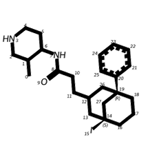 CC1CNCCC1NC(=O)CCC1C[C@@]2(I)CCC[C@@](c3ccccc3)(C1)C2